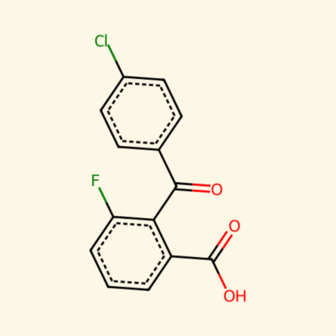 O=C(O)c1cccc(F)c1C(=O)c1ccc(Cl)cc1